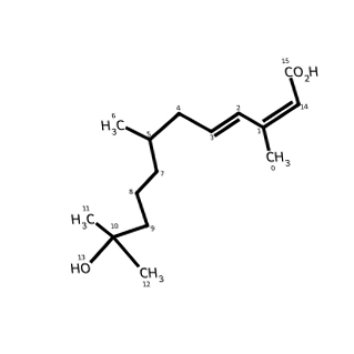 CC(C=CCC(C)CCCC(C)(C)O)=CC(=O)O